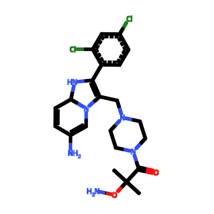 CC(C)(ON)C(=O)N1CCN(CC2=C(c3ccc(Cl)cc3Cl)NC3C=CC(N)=CN23)CC1